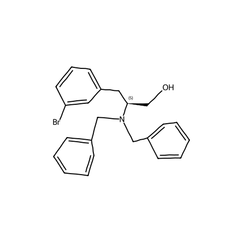 OC[C@H](Cc1cccc(Br)c1)N(Cc1ccccc1)Cc1ccccc1